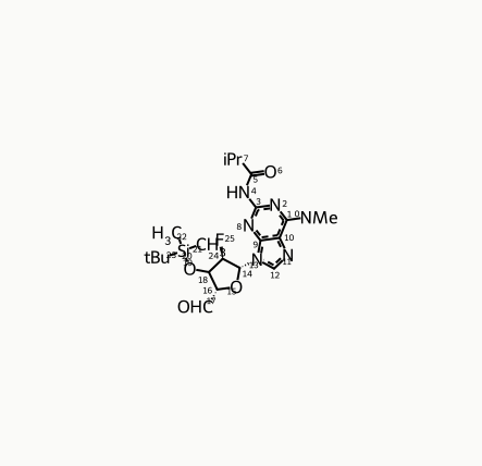 CNc1nc(NC(=O)C(C)C)nc2c1ncn2[C@@H]1O[C@H](C=O)C(O[Si](C)(C)C(C)(C)C)[C@H]1F